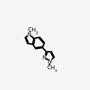 Cn1ccc(-c2ccc3c(ccn3C)c2)n1